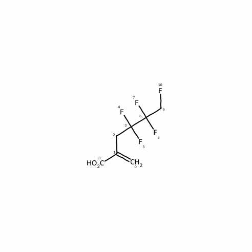 C=C(CC(F)(F)C(F)(F)CF)C(=O)O